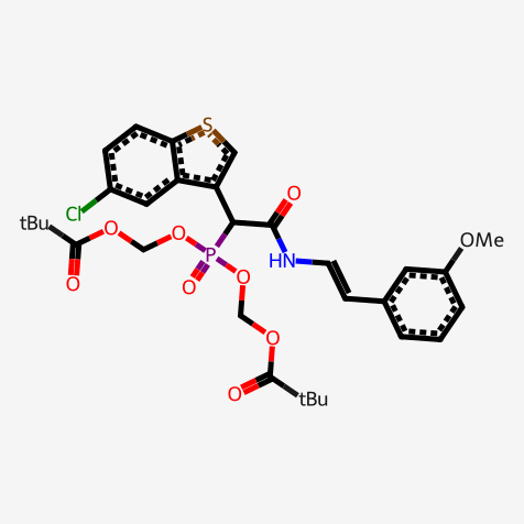 COc1cccc(C=CNC(=O)C(c2csc3ccc(Cl)cc23)P(=O)(OCOC(=O)C(C)(C)C)OCOC(=O)C(C)(C)C)c1